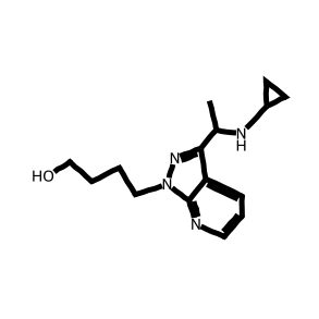 CC(NC1CC1)c1nn(CCCCO)c2ncccc12